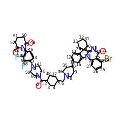 O=C(C1CCC(CN2CCC(c3ccc4c(c3)-n3c(nc(=O)c5c(Br)cccc53)C43CCCCC3)CC2)CC1)N1CCN(c2ccc(N3C(=O)CCCC3=O)c(F)c2F)CC1